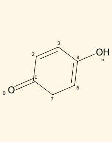 O=C1C=CC(O)=CC1